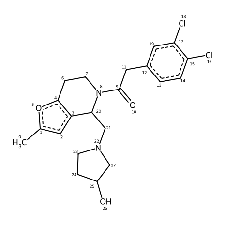 Cc1cc2c(o1)CCN(C(=O)Cc1ccc(Cl)c(Cl)c1)C2CN1CCC(O)C1